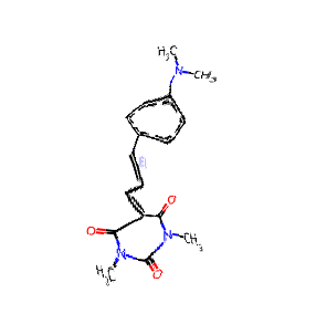 CN1C(=O)C(=C/C=C/c2ccc(N(C)C)cc2)C(=O)N(C)C1=O